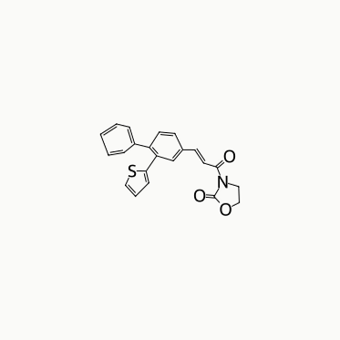 O=C(/C=C/c1ccc(-c2ccccc2)c(-c2cccs2)c1)N1CCOC1=O